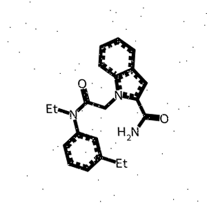 CCc1cccc(N(CC)C(=O)Cn2c(C(N)=O)cc3ccccc32)c1